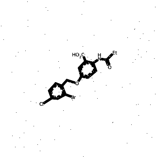 CCC(=O)Nc1ccc(OCc2ccc(Cl)cc2Br)cc1C(=O)O